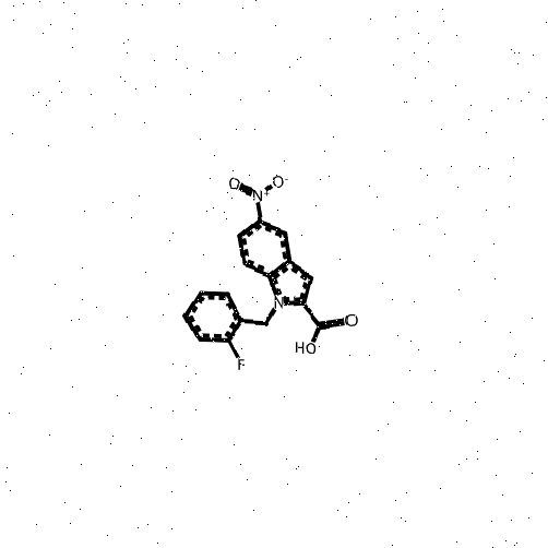 O=C(O)c1cc2cc([N+](=O)[O-])ccc2n1Cc1ccccc1F